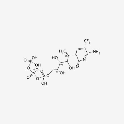 C[C@H](C(O)[C@@H](O)[C@H](O)COP(=O)(O)OP(=O)(O)OP(=O)(O)O)n1cc(C(F)(F)F)c(N)nc1=O